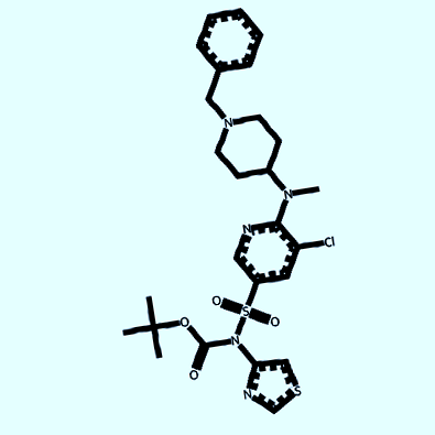 CN(c1ncc(S(=O)(=O)N(C(=O)OC(C)(C)C)c2cscn2)cc1Cl)C1CCN(Cc2ccccc2)CC1